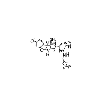 CC1(c2ccc(Cl)cc2)C(=O)Nc2nc(-c3cn4ccnc4c(NCC4CC(F)(F)C4)n3)nc(N)c21